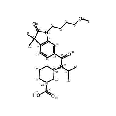 COCCCCN1C(=O)C(C)(C)c2ccc(C(=O)N(C(C)C)[C@@H]3CCCN(C(=O)O)C3)cc21